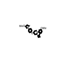 COc1ccc(C2CCC2)c(N2CCC(Oc3ccc(N4C[C@H](OC)C[C@@H]4C)cc3)CC2)c1